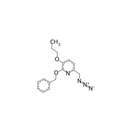 CCCOc1ccc(CN=[N+]=[N-])nc1OCc1ccccc1